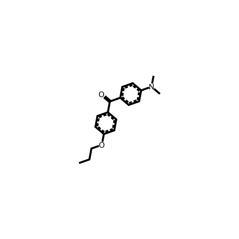 CCCOc1ccc(C(=O)c2ccc(N(C)C)cc2)cc1